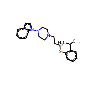 CC(C)c1ccccc1SCCCN1CCN(n2ccc3ccccc32)CC1